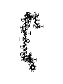 CCC(C)[C@H](NC(=O)[C@@H](C)Cc1c[nH]cn1)C(=O)N[C@@H](CC(C)C)C(=O)NCC(=O)NCC(=O)NCCNC(=O)CCC(=O)OCOC(=O)[C@@H]1N2C(=O)[C@@H](NC(=O)Cc3ccccc3)[C@H]2SC1(C)C